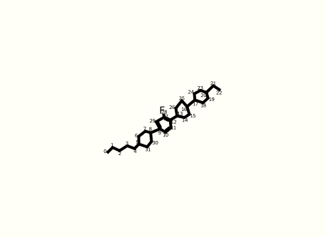 CCCCCC1CCC(c2ccc(C3CCC(C4CCC(CC)CC4)CC3)c(F)c2)CC1